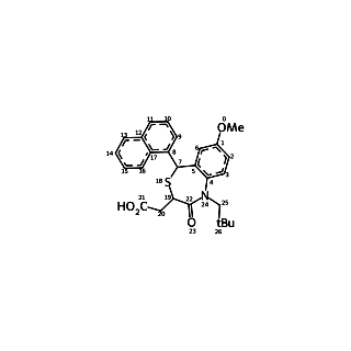 COc1ccc2c(c1)C(c1cccc3ccccc13)SC(CC(=O)O)C(=O)N2CC(C)(C)C